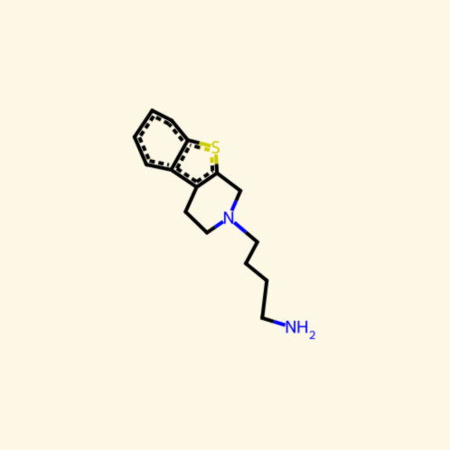 NCCCCN1CCc2c(sc3ccccc23)C1